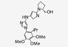 COc1cc(-n2cnc(NC3=CC(N4CCC[C@H]4CO)=NC3)c2)c(C(C)C)c(OC)c1OC